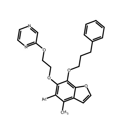 CC(=O)c1c(OCCOc2cnccn2)c(OCCCc2ccccc2)c2occc2c1C